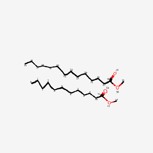 CCCCCCCCCCCC(=O)OC.CCCCCCCCCCCCCC(=O)OC